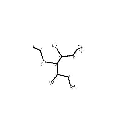 CCOC(C(O)CO)C(O)CO